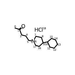 CC(=O)CCCN1CCC(C2CCCCC2)CC1.Cl